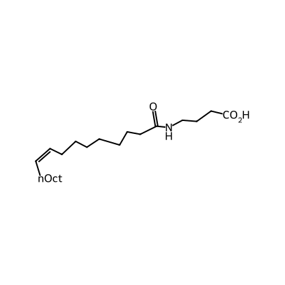 CCCCCCCC/C=C\CCCCCCCC(=O)NCCCC(=O)O